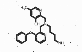 Cc1cnc(CN(CCCCN)Cc2ncccc2Sc2ccccc2)c(C)c1